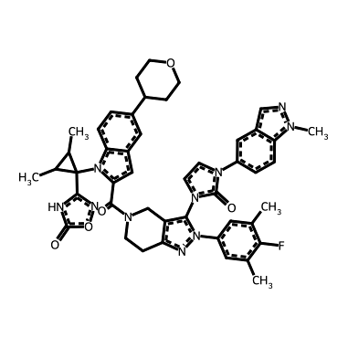 Cc1cc(-n2nc3c(c2-n2ccn(-c4ccc5c(cnn5C)c4)c2=O)CN(C(=O)c2cc4cc(C5CCOCC5)ccc4n2C2(c4noc(=O)[nH]4)C(C)C2C)CC3)cc(C)c1F